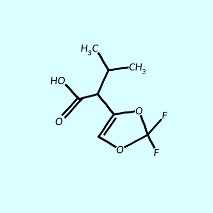 CC(C)C(C(=O)O)C1=COC(F)(F)O1